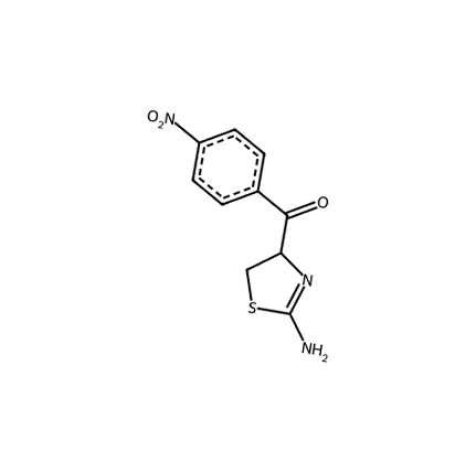 NC1=NC(C(=O)c2ccc([N+](=O)[O-])cc2)CS1